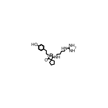 N=C(N)NCCCCNC(=O)C1(C(=O)NCCc2ccc(O)cc2)CCCC1